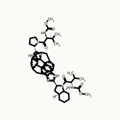 COC(=O)N[C@H](C(=O)N1CCC[C@H]1c1nc(-c2cc3ccc2CCc2ccc(c(-c4ccc5[nH]c([C@@H]6C[C@@H]7CCCC[C@@H]7N6C(=O)[C@@H](NC(=O)OC)C(C)C)nc5c4)c2)CC3)c[nH]1)C(C)C